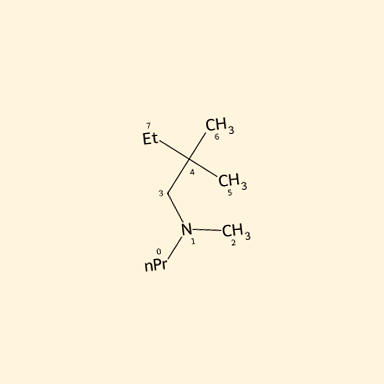 CCCN(C)CC(C)(C)CC